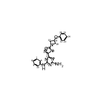 Nc1nc(Nc2ccccc2)nc(-c2noc(N3CC(Oc4ccccc4)C3)n2)n1